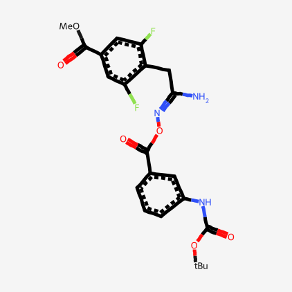 COC(=O)c1cc(F)c(CC(N)=NOC(=O)c2cccc(NC(=O)OC(C)(C)C)c2)c(F)c1